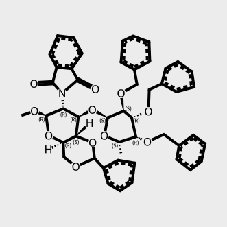 CO[C@@H]1O[C@@H]2COC(c3ccccc3)O[C@H]2[C@H](O[C@@H]2O[C@@H](C)[C@@H](OCc3ccccc3)[C@@H](OCc3ccccc3)[C@@H]2OCc2ccccc2)[C@H]1N1C(=O)c2ccccc2C1=O